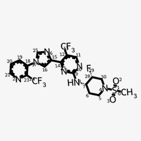 CS(=O)(=O)N1CC[C@H](Nc2ncc(C(F)(F)F)c(-c3cn(-c4cccnc4C(F)(F)F)cn3)n2)[C@H](F)C1